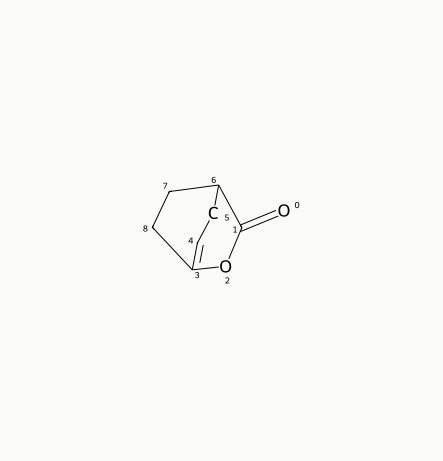 O=C1OC2=CCC1CC2